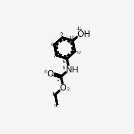 CCOC(=O)Nc1cccc(O)c1